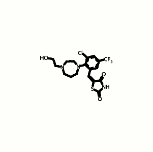 O=C1NC(=O)/C(=C\c2cc(C(F)(F)F)cc(Cl)c2N2CCCN(CCO)CC2)S1